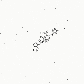 Cc1nnc(SCC2=C(C(=O)O)N3C(=O)[C@@H](OC(=O)Cc4ccccc4CN)[C@@H]3SC2)s1